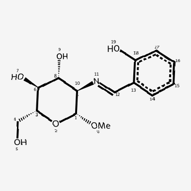 CO[C@@H]1O[C@H](CO)[C@@H](O)[C@H](O)[C@H]1N=Cc1ccccc1O